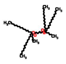 CCCCCCCCCCCCCCCCC(CCCCC)(CCCCCCCCCCCCCCCC)OC(=O)CCCCC(=O)OC(CCCCC)(CCCCCCCCCCCCCCCC)CCCCCCCCCCCCCCCC